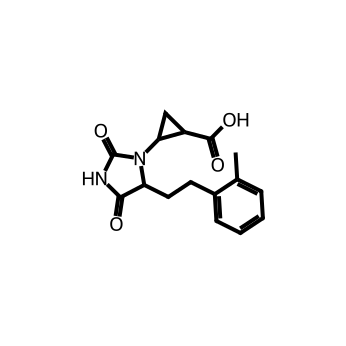 Cc1ccccc1CCC1C(=O)NC(=O)N1C1CC1C(=O)O